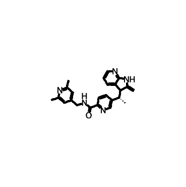 C=C1Nc2ncccc2C1[C@H](C)c1ccc(C(=O)NCc2cc(C)nc(C)c2)nc1